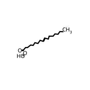 CCCCCCCCC=CCCCCCCCC(=O)OO